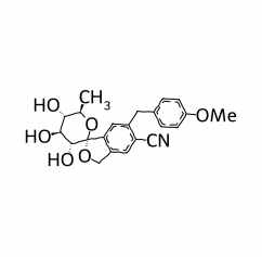 COc1ccc(Cc2cc3c(cc2C#N)CO[C@]32O[C@H](C)[C@@H](O)[C@H](O)[C@H]2O)cc1